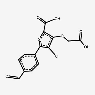 O=Cc1ccc(-c2sc(C(=O)O)c(OCC(=O)O)c2Cl)cc1